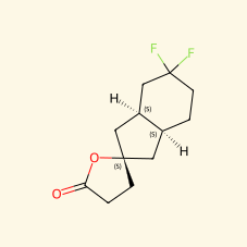 O=C1CC[C@]2(C[C@H]3CC(F)(F)CC[C@H]3C2)O1